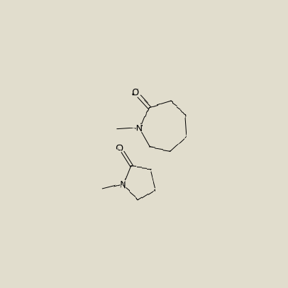 CN1CCCC1=O.CN1CCCCCC1=O